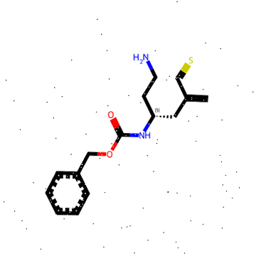 C=C(C=S)C[C@@H](CCN)NC(=O)OCc1ccccc1